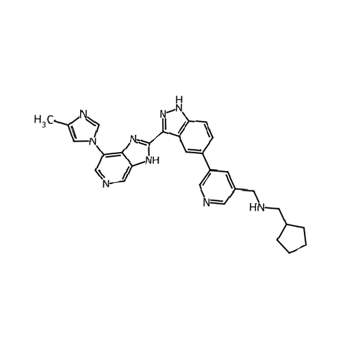 Cc1cn(-c2cncc3[nH]c(-c4n[nH]c5ccc(-c6cncc(CNCC7CCCC7)c6)cc45)nc23)cn1